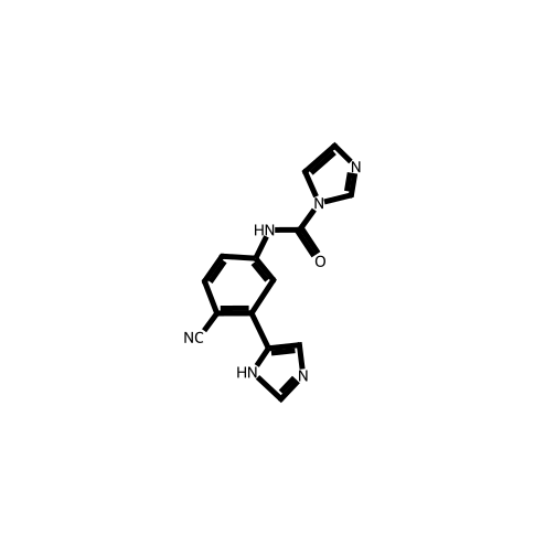 N#Cc1ccc(NC(=O)n2ccnc2)cc1-c1cnc[nH]1